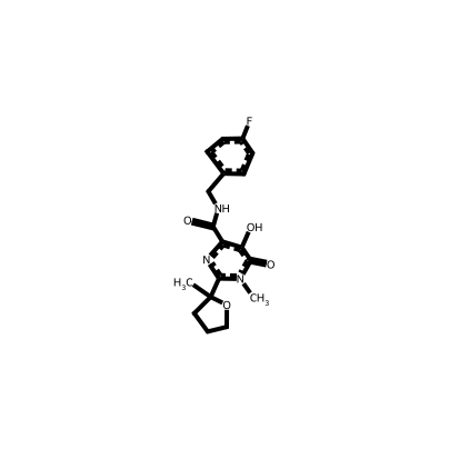 Cn1c(C2(C)CCCO2)nc(C(=O)NCc2ccc(F)cc2)c(O)c1=O